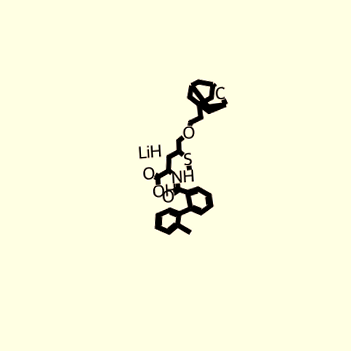 CSC(COCCC12CC3CC(CC(C3)C1)C2)CC(NC(=O)c1ccccc1-c1ccccc1C)C(=O)O.[LiH]